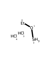 CCO[SiH3].Cl.Cl